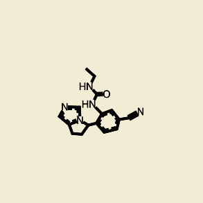 CCNC(=O)Nc1cc(C#N)ccc1C1CCc2cncn21